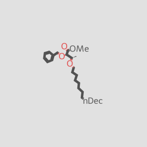 CCCCCCCCCCCCCCCCCCO[C@@H](C)[C@@H](OCc1ccccc1)C(=O)OC